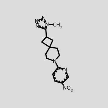 Cn1nnnc1C1CC2(CCN(c3ccc([N+](=O)[O-])cn3)CC2)C1